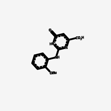 CC(C)COc1ccccc1Nc1nc(C(=O)O)cc(=O)[nH]1